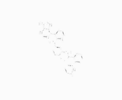 Cc1cccc(-c2ccccc2C(=O)Nc2cc(Nc3ncccc3-c3ncnc4[nH]cnc34)ccc2F)n1